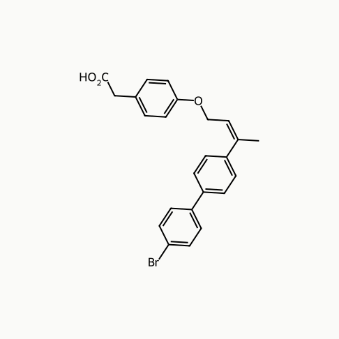 CC(=CCOc1ccc(CC(=O)O)cc1)c1ccc(-c2ccc(Br)cc2)cc1